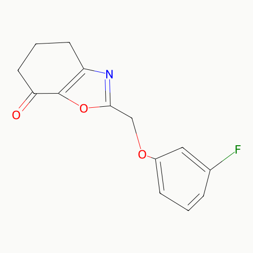 O=C1CCCc2nc(COc3cccc(F)c3)oc21